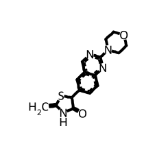 C=C1NC(=O)C(c2ccc3nc(N4CCOCC4)ncc3c2)S1